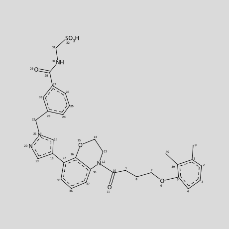 Cc1cccc(OCCCC(=O)N2CCOc3c(-c4cnn(Cc5cccc(C(=O)NCS(=O)(=O)O)c5)c4)cccc32)c1C